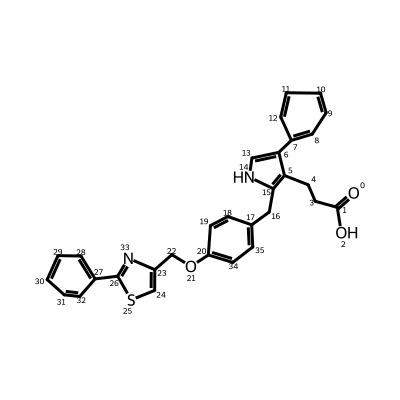 O=C(O)CCc1c(-c2ccccc2)c[nH]c1Cc1ccc(OCc2csc(-c3ccccc3)n2)cc1